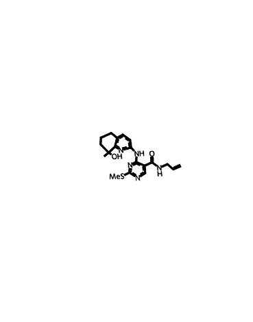 C=CCNC(=O)c1cnc(SC)nc1Nc1ccc2c(n1)C(C)(O)CCC2